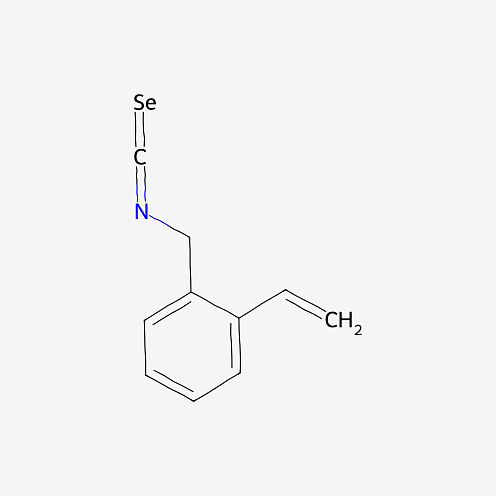 C=Cc1ccccc1CN=C=[Se]